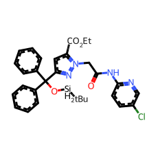 CCOC(=O)c1cc(C(O[SiH2]C(C)(C)C)(c2ccccc2)c2ccccc2)nn1CC(=O)Nc1ccc(Cl)cn1